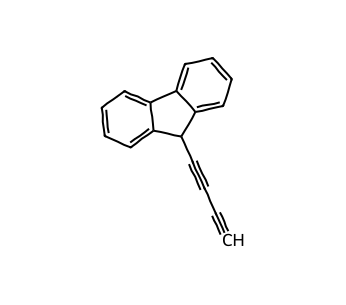 C#CC#CC1c2ccccc2-c2ccccc21